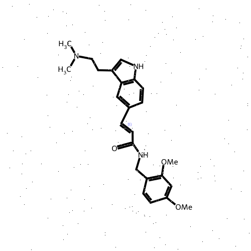 COc1ccc(CNC(=O)/C=C/c2ccc3[nH]cc(CCN(C)C)c3c2)c(OC)c1